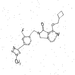 Cn1cc(-c2ccc(CN3Cc4ccnc(OCC5CCC5)c4C3=O)c(F)c2)nn1